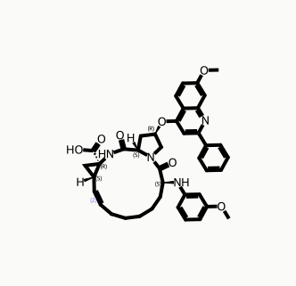 COc1cccc(N[C@H]2CCCCC/C=C\[C@@H]3C[C@@]3(C(=O)O)NC(=O)[C@@H]3C[C@@H](Oc4cc(-c5ccccc5)nc5cc(OC)ccc45)CN3C2=O)c1